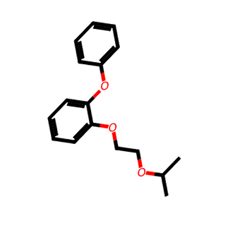 CC(C)OCCOc1ccccc1Oc1ccccc1